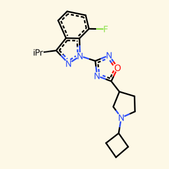 CC(C)c1nn(-c2noc(C3CCN(C4CCC4)C3)n2)c2c(F)cccc12